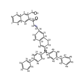 O=Cc1cc2ccccc2cc1C(=O)/C=C/c1ccc2c(c1)CCC(N(c1ccc(-c3ccccc3)cc1)c1ccc(-c3ccccc3)cc1)=C2